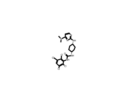 CN(C)c1ccnc(N[C@H]2CC[C@@H](NC(=O)Nc3c(Cl)c(Cl)cc(Cl)c3Cl)CC2)n1